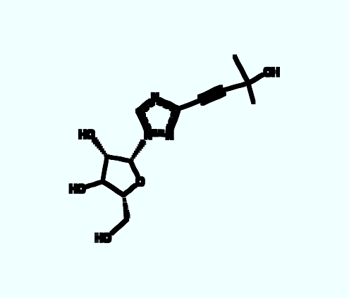 CC(C)(O)C#Cc1ncn([C@@H]2O[C@H](CO)C(O)[C@@H]2O)n1